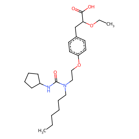 CCCCCCN(CCOc1ccc(CC(OCC)C(=O)O)cc1)C(=O)NC1CCCC1